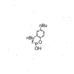 CCCCc1ccc(OP(O)F)c(CCCC)c1